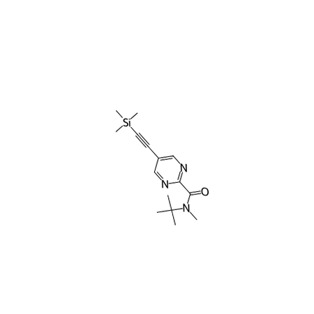 CN(C(=O)c1ncc(C#C[Si](C)(C)C)cn1)C(C)(C)C